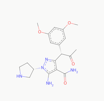 COc1cc(OC)cc([C@H](C(C)=O)c2nn([C@H]3CCNC3)c(N)c2C(N)=O)c1